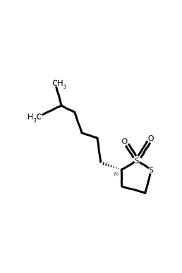 CC(C)CCCC[C@H]1CCSS1(=O)=O